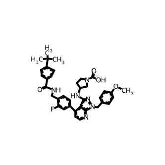 COc1ccc(Cn2nc(NC3CCN(C(=O)O)C3)c3c(-c4ccc(CNC(=O)c5ccc(C(C)(C)C)cc5)c(F)c4)ccnc32)cc1